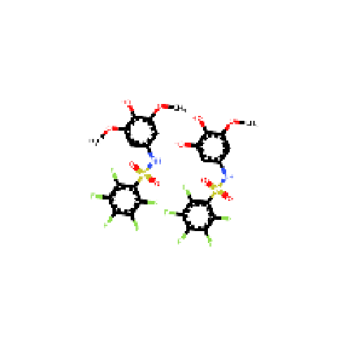 COc1cc(NS(=O)(=O)c2c(F)c(F)c(F)c(F)c2F)cc(O)c1O.COc1cc(NS(=O)(=O)c2c(F)c(F)c(F)c(F)c2F)cc(OC)c1O